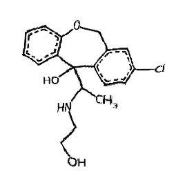 CC(NCCO)C1(O)c2ccc(Cl)cc2COc2ccccc21